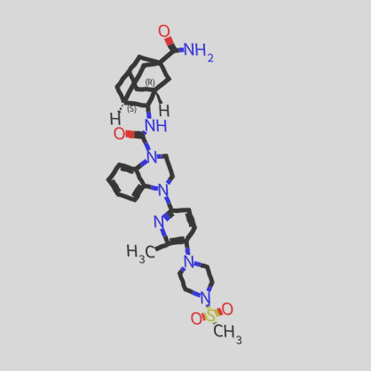 Cc1nc(N2CCN(C(=O)NC3[C@@H]4CC5C[C@H]3CC(C(N)=O)(C5)C4)c3ccccc32)ccc1N1CCN(S(C)(=O)=O)CC1